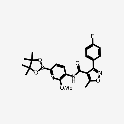 COc1nc(B2OC(C)(C)C(C)(C)O2)ccc1NC(=O)c1c(-c2ccc(F)cc2)noc1C